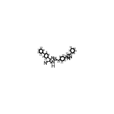 N#CC1=C(c2ccc(-c3ccccc3)cc2)N=C(SCc2ccc(-n3cc(-c4ccccc4)nn3)cc2)NC1